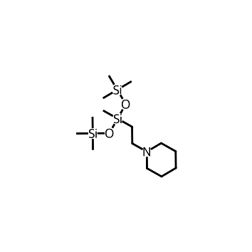 C[Si](C)(C)O[Si](C)(CCN1CCCCC1)O[Si](C)(C)C